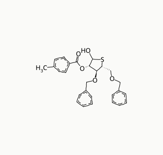 Cc1ccc(C(=O)O[C@@H]2C(O)S[C@H](COCc3ccccc3)[C@H]2OCc2ccccc2)cc1